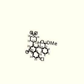 COC(=O)c1ccccc1Nc1c(C2CCS(=O)(=O)CC2)c[n+]([O-])c2ccc(Cl)cc12